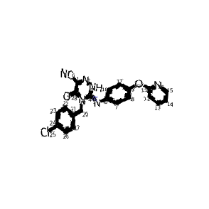 N#Cc1n[nH]/c(=N\c2ccc(Oc3ccccn3)cc2)n(Cc2ccc(Cl)cc2)c1=O